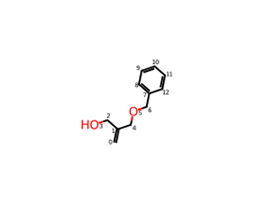 C=C(CO)COCc1ccccc1